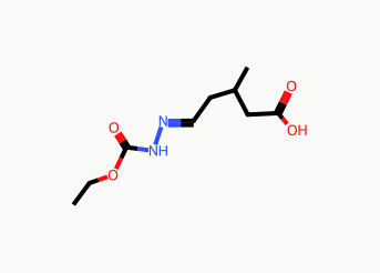 CCOC(=O)NN=CCC(C)CC(=O)O